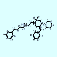 CC1(C)CC(N2CCCCC2)/C(=C/c2ccccc2)CN1CCNCCCCc1ccccc1